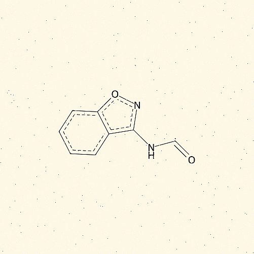 O=[C]Nc1noc2ccccc12